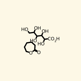 O=C(O)C(O)C(O)C(O)C(O)CO.O=C1CCCCCO1